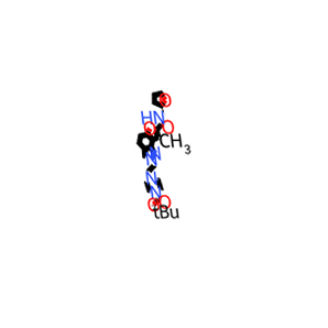 Cc1c(C(=O)NC[C@@H]2CCCO2)oc2c1-c1nn(CCN3CCN(C(=O)OC(C)(C)C)CC3)cc1CC2